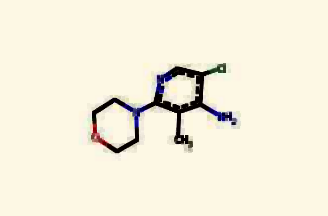 Cc1c(N2CCOCC2)ncc(Cl)c1N